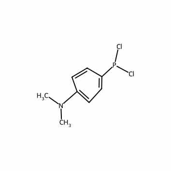 CN(C)c1ccc(P(Cl)Cl)cc1